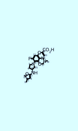 Cc1cc(N[C@H]2CCN(c3c(F)cc4c5c3OCN(C)N5C=C(C(=O)O)O4)C2)on1